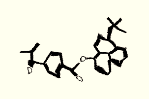 C=C(C)C(=O)c1ccc(C(=O)Oc2ccc3cccc4c3c2C=CC4C(C)(C)C)cc1